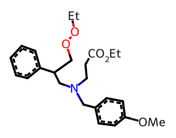 CCOOCC(CN(CCC(=O)OCC)Cc1ccc(OC)cc1)c1ccccc1